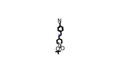 CC(C)(C)OC(=O)N1CCC(/C=C/c2ccc(C#N)cc2)CC1